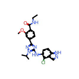 CCNC(=O)c1ccc(-c2nc(Nc3ccc4[nH]ncc4c3Cl)n(C(C)C)n2)cc1OC